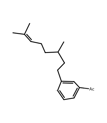 CC(=O)c1cc[c]c(CCC(C)CCC=C(C)C)c1